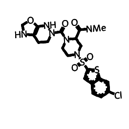 CNC(=O)C1CN(S(=O)(=O)c2cc3ccc(Cl)cc3s2)CCN1C(=O)N1CCC2=C(N1)OCN2